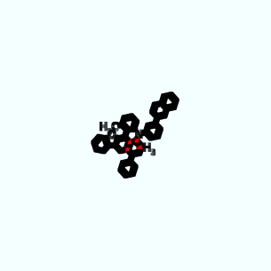 CSC1=CCC2C3=C(C=CCC3)OC2=C1c1c(C)cccc1N(c1ccc(-c2ccccc2)cc1)c1cccc(-c2ccc3ccccc3c2)c1